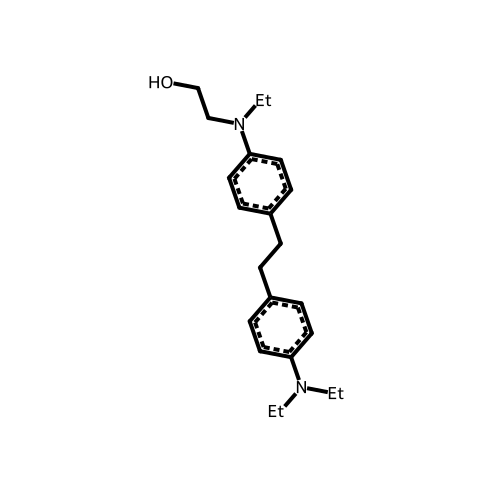 CCN(CC)c1ccc(CCc2ccc(N(CC)CCO)cc2)cc1